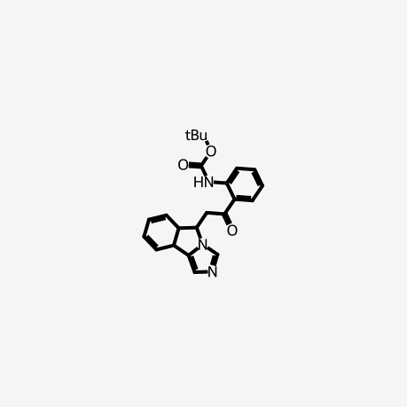 CC(C)(C)OC(=O)Nc1ccccc1C(=O)CC1C2C=CC=CC2c2cncn21